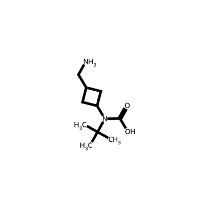 CC(C)(C)N(C(=O)O)C1CC(CN)C1